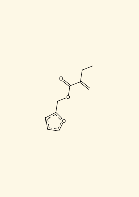 C=C(CC)C(=O)OCc1ccco1